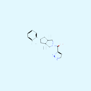 O=C(C1=CCN=N1)N1C[C@H]2C[C@@H](c3ccccc3C(F)(F)F)C[C@H]2C1